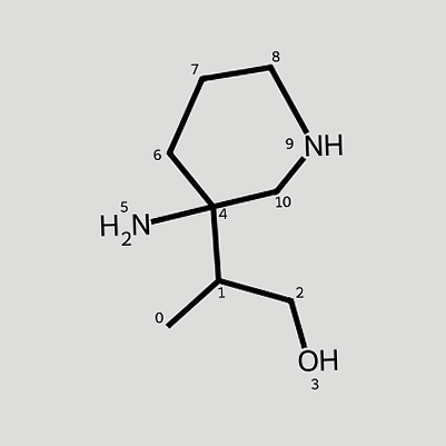 CC(CO)C1(N)CCCNC1